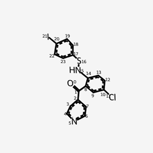 O=C(c1ccncc1)c1cc(Cl)ccc1NSc1ccc(I)cc1